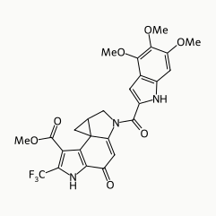 COC(=O)c1c(C(F)(F)F)[nH]c2c1C13CC1CN(C(=O)c1cc4c(OC)c(OC)c(OC)cc4[nH]1)C3=CC2=O